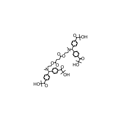 CN(CCOC(=O)CCC(=O)OCCN(C)C(c1ccc(C(=O)C(C)(C)O)cc1)c1ccc(C(=O)C(C)(C)O)cc1)C(c1ccc(C(=O)C(C)(C)O)cc1)c1ccc(C(=O)C(C)(C)O)cc1